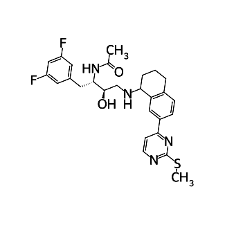 CSc1nccc(-c2ccc3c(c2)C(NC[C@@H](O)[C@H](Cc2cc(F)cc(F)c2)NC(C)=O)CCC3)n1